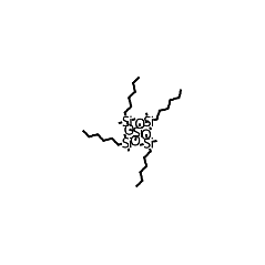 CCCCCC[Si](C)(C)O[Si](O[Si](C)(C)CCCCCC)(O[Si](C)(C)CCCCCC)O[Si](C)(C)CCCCCC